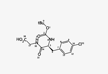 CC(C)(C)OC(=O)N[C@@H](Cc1ccc(Cl)cc1)C(=O)NCC(=O)O